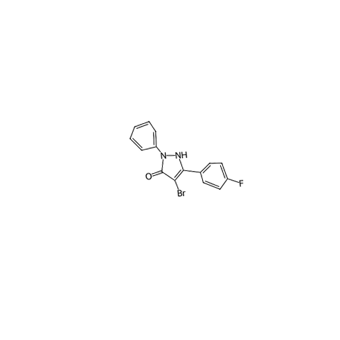 O=c1c(Br)c(-c2ccc(F)cc2)[nH]n1-c1ccccc1